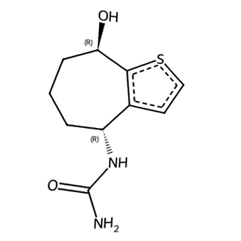 NC(=O)N[C@@H]1CCC[C@@H](O)c2sccc21